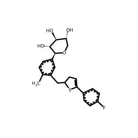 Cc1ccc([C@@H]2OC[C@@H](O)[C@H](O)[C@H]2O)cc1CC1CC=C(c2ccc(F)cc2)S1